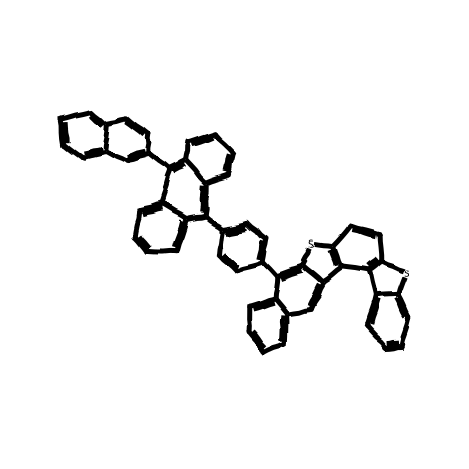 c1ccc2cc(-c3c4ccccc4c(-c4ccc(-c5c6ccccc6cc6c5sc5ccc7sc8ccccc8c7c56)cc4)c4ccccc34)ccc2c1